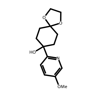 COc1ccc(C2(O)CCC3(CC2)OCCO3)nc1